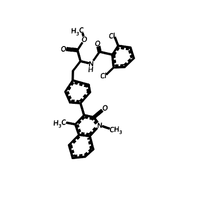 COC(=O)C(Cc1ccc(-c2c(C)c3ccccc3n(C)c2=O)cc1)NC(=O)c1c(Cl)cccc1Cl